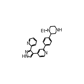 CCN1CCNCC1c1ccc(-c2cc(-c3c[nH]nc3-c3ccccn3)ccn2)cc1